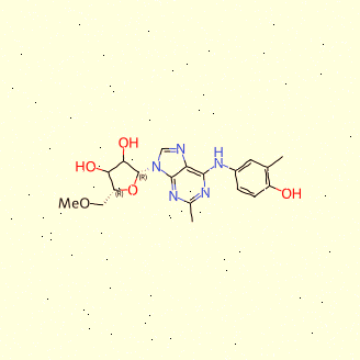 COC[C@H]1O[C@@H](n2cnc3c(Nc4ccc(O)c(C)c4)nc(C)nc32)C(O)C1O